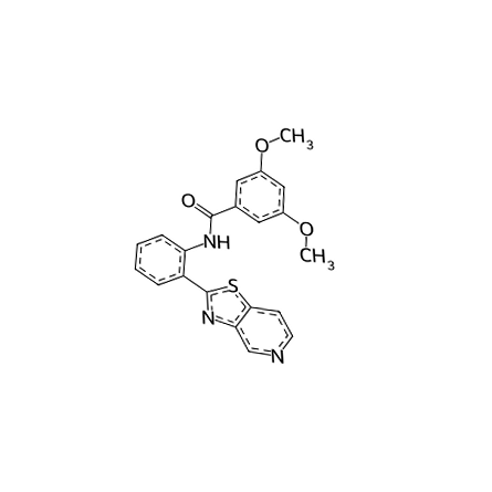 COc1cc(OC)cc(C(=O)Nc2ccccc2-c2nc3cnccc3s2)c1